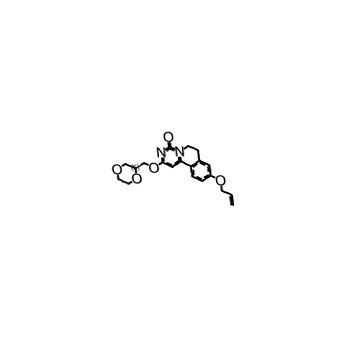 C=CCOc1ccc2c(c1)CCn1c-2cc(OC[C@@H]2COCCO2)nc1=O